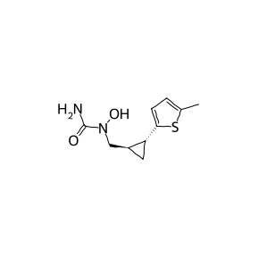 Cc1ccc([C@@H]2C[C@H]2CN(O)C(N)=O)s1